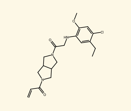 C=CC(=O)N1CC2CN(C(=O)CNc3cc(CC)c(Cl)cc3OC)CC2C1